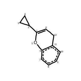 C1=C(C2CC2)Oc2ccccc2C1